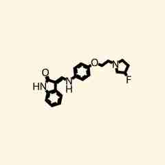 O=C1Nc2ccccc2/C1=C\Nc1ccc(OCCN2CCC(F)C2)cc1